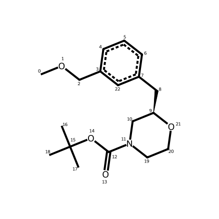 COCc1cccc(C[C@@H]2CN(C(=O)OC(C)(C)C)CCO2)c1